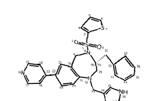 O=S(=O)(c1cccs1)N1Cc2cc(-c3ccncc3)ccc2N(Cc2c[nH]cn2)C[C@H]1Cc1ccccc1